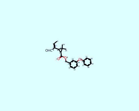 C/C=C(/C=O)C1C(C(=O)OCc2cccc(Oc3ccccc3)c2)C1(C)C